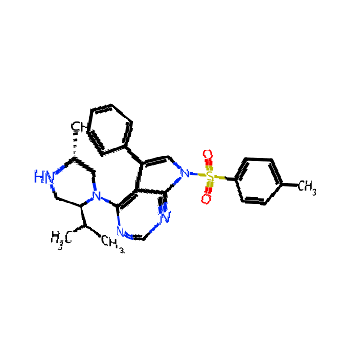 Cc1ccc(S(=O)(=O)n2cc(-c3ccccc3)c3c(N4C[C@@H](C)NC[C@@H]4C(C)C)ncnc32)cc1